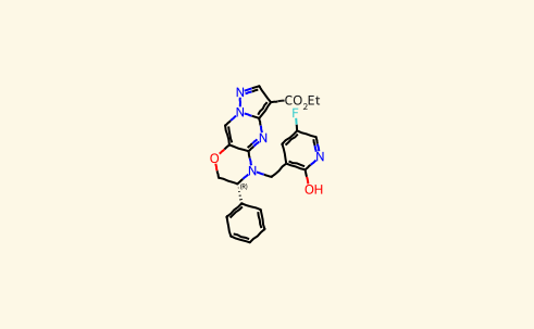 CCOC(=O)c1cnn2cc3c(nc12)N(Cc1cc(F)cnc1O)[C@H](c1ccccc1)CO3